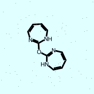 C1=CN=C(OC2=NC=CC=CN2)NC=C1